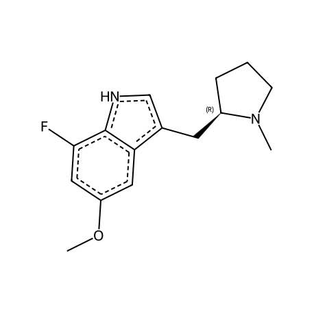 COc1cc(F)c2[nH]cc(C[C@H]3CCCN3C)c2c1